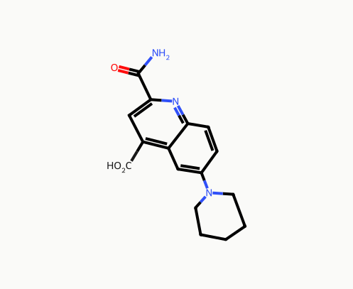 NC(=O)c1cc(C(=O)O)c2cc(N3CCCCC3)ccc2n1